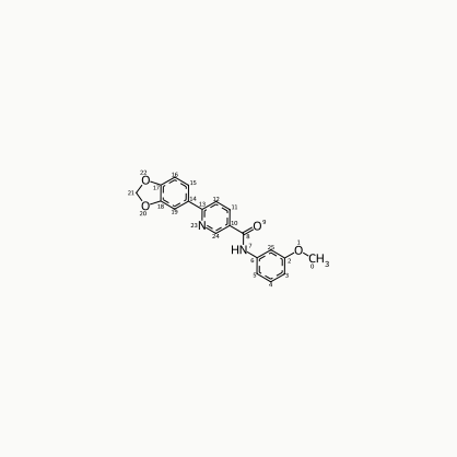 COc1cccc(NC(=O)c2ccc(-c3ccc4c(c3)OCO4)nc2)c1